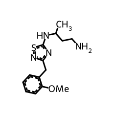 COc1ccccc1Cc1nsc(NC(C)CCN)n1